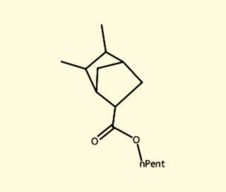 CCCCCOC(=O)C1CC2CC1C(C)C2C